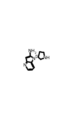 Nc1cc2ncccc2n1[C@@H]1CCNC1